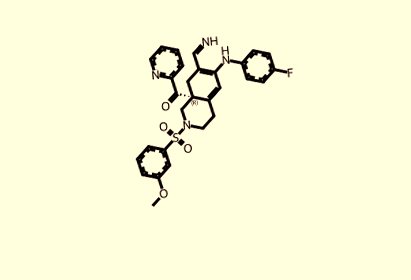 COc1cccc(S(=O)(=O)N2CCC3=CC(Nc4ccc(F)cc4)=C(C=N)C[C@]3(C(=O)c3ccccn3)C2)c1